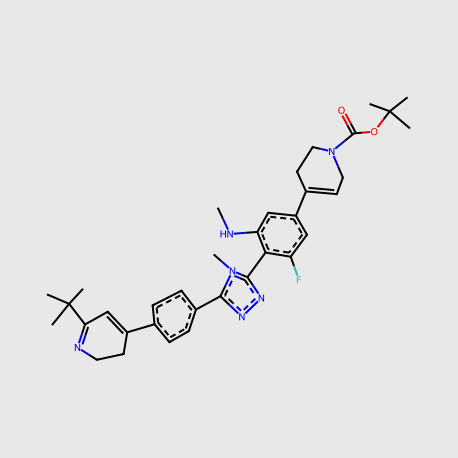 CNc1cc(C2=CCN(C(=O)OC(C)(C)C)CC2)cc(F)c1-c1nnc(-c2ccc(C3=CC(C(C)(C)C)=NCC3)cc2)n1C